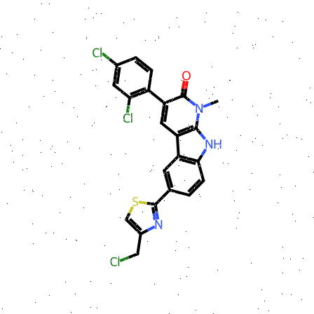 Cn1c(=O)c(-c2ccc(Cl)cc2Cl)cc2c3cc(-c4nc(CCl)cs4)ccc3[nH]c21